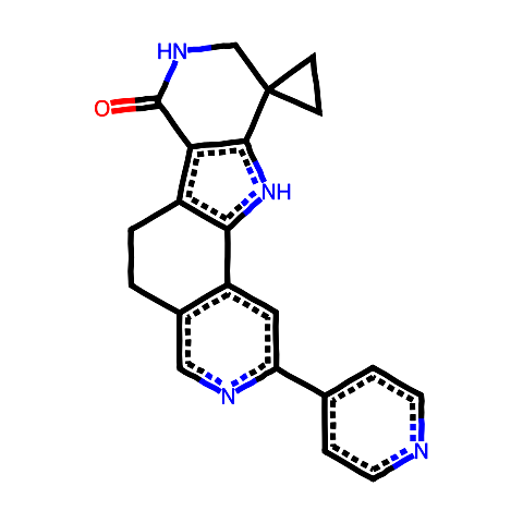 O=C1NCC2(CC2)c2[nH]c3c(c21)CCc1cnc(-c2ccncc2)cc1-3